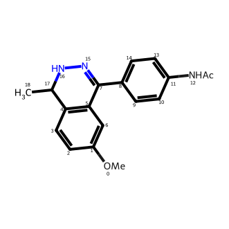 COc1ccc2c(c1)C(c1ccc(NC(C)=O)cc1)=NNC2C